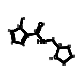 Cn1nccc1C(=O)NCC1CCCO1